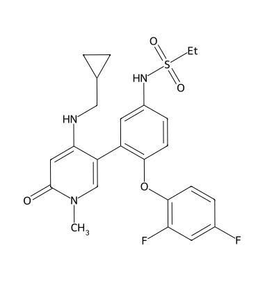 CCS(=O)(=O)Nc1ccc(Oc2ccc(F)cc2F)c(-c2cn(C)c(=O)cc2NCC2CC2)c1